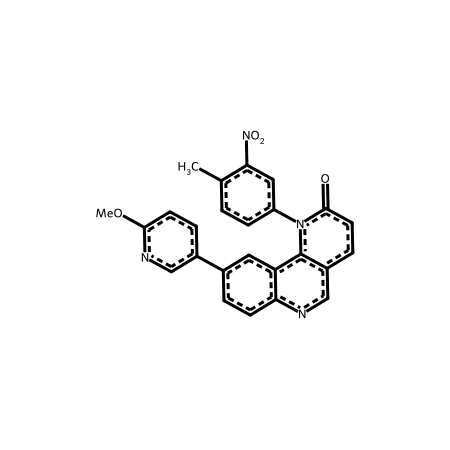 COc1ccc(-c2ccc3ncc4ccc(=O)n(-c5ccc(C)c([N+](=O)[O-])c5)c4c3c2)cn1